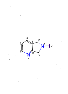 IN1Cc2cccnc2C1